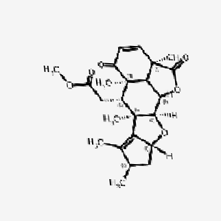 COC(=O)C[C@H]1[C@]2(C)C3=C(C)[C@H](C)C[C@H]3O[C@@H]2[C@@H]2OC(=O)[C@]3(C)C=CC(=O)[C@@]1(C)C23